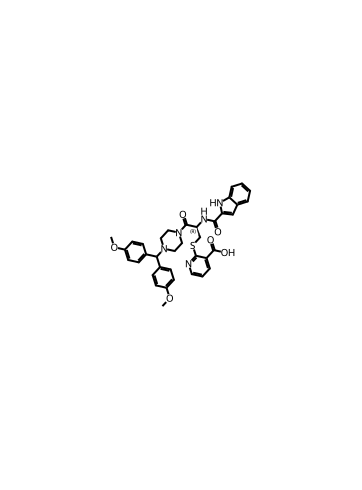 COc1ccc(C(c2ccc(OC)cc2)N2CCN(C(=O)[C@H](CSc3ncccc3C(=O)O)NC(=O)c3cc4ccccc4[nH]3)CC2)cc1